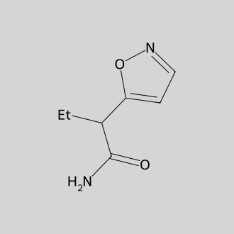 CCC(C(N)=O)c1ccno1